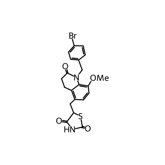 COc1ccc(CC2SC(=O)NC2=O)c2c1N(Cc1ccc(Br)cc1)C(=O)CC2